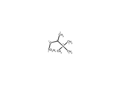 CC(OS(=O)(=O)O)[Si](C)(C)C